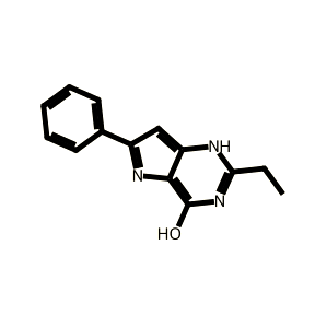 CCc1nc(O)c2nc(-c3ccccc3)cc-2[nH]1